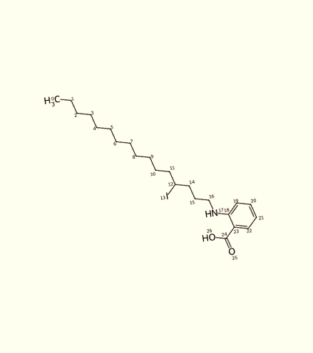 CCCCCCCCCCCCC(I)CCCNc1ccccc1C(=O)O